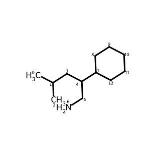 CC(C)CC(CN)C1CCCCC1